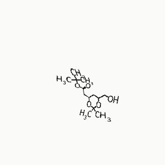 CC(C)(C)OC(=O)CC1CC(CO)OC(C)(C)O1